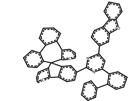 c1ccc(-c2ccccc2-c2cc(-c3ccc4c(c3)oc3ccccc34)nc(-c3ccc4c(c3)C3(c5ccccc5-c5ccccc5-c5ccccc53)c3ccccc3-4)n2)cc1